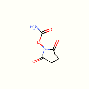 NC(=O)ON1C(=O)CCC1=O